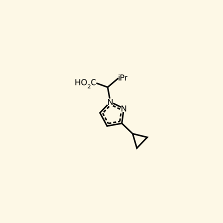 CC(C)C(C(=O)O)n1ccc(C2CC2)n1